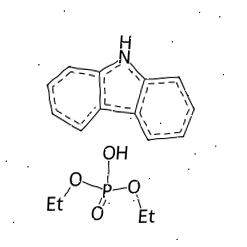 CCOP(=O)(O)OCC.c1ccc2c(c1)[nH]c1ccccc12